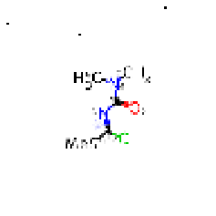 CS/C(Cl)=N/C(=O)N(C)C